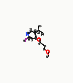 COCCCOc1cc(I)ncc1C(C)C